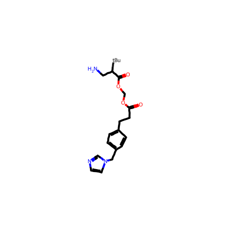 CC(C)(C)C(CN)C(=O)OCOC(=O)CCc1ccc(Cn2ccnc2)cc1